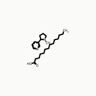 CCCCCCCCCCCCCC(=O)O.CN1CCCC1c1cccnc1